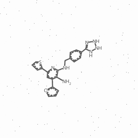 Nc1c(-c2ccco2)cc(-c2cccs2)nc1NCc1ccc(C2=NNNN2)cc1